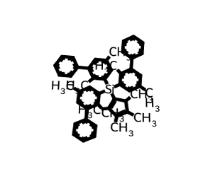 CC1=C(C)C(C)C([Si](c2cc(C)cc(-c3ccccc3)c2C)(c2cc(C)cc(-c3ccccc3)c2C)c2cc(C)cc(-c3ccccc3)c2C)=C1C